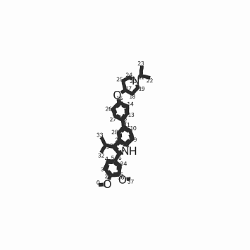 COc1ccc(-c2[nH]c3ccc(-c4ccc(OC5CCN(C(C)C)CC5)cc4)cc3c2C(C)C)cc1OC